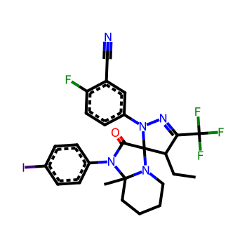 CCC1C(C(F)(F)F)=NN(c2ccc(F)c(C#N)c2)C12C(=O)N(c1ccc(I)cc1)C1(C)CCCCN12